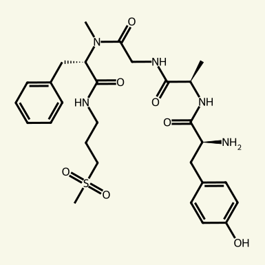 C[C@@H](NC(=O)[C@@H](N)Cc1ccc(O)cc1)C(=O)NCC(=O)N(C)[C@@H](Cc1ccccc1)C(=O)NCCCS(C)(=O)=O